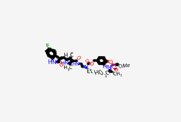 CCN(CCNC(=O)c1c(C)[nH]c(/C=C2\C(=O)Nc3ccc(F)cc32)c1C)C(=O)OCc1ccc(OP(=O)(COC)NC(C)C(=O)O)cc1